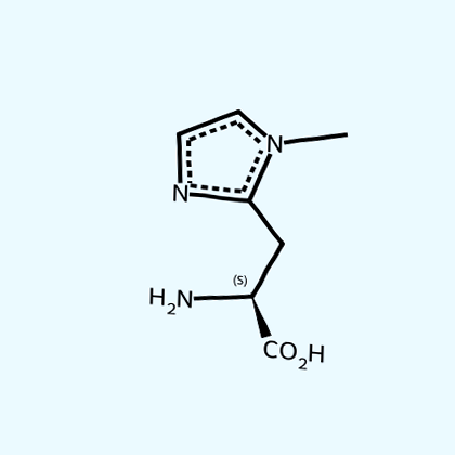 Cn1ccnc1C[C@H](N)C(=O)O